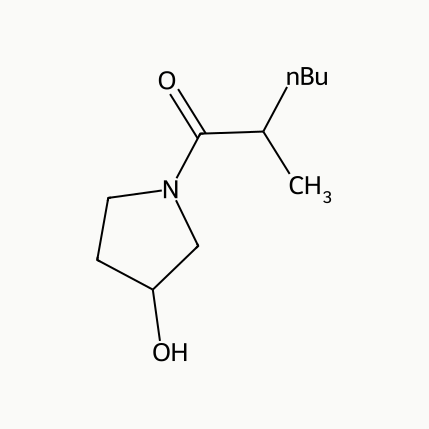 CCCCC(C)C(=O)N1CCC(O)C1